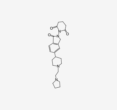 O=C1c2ccc(C3CCN(CCN4CCCC4)CC3)cc2CN1N1C(=O)CCCC1=O